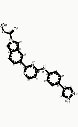 CC(C)(C)OC(=O)n1cc2ccc(-c3nccc(Nc4ccc(-c5cn[nH]c5)cc4)n3)cc2c1